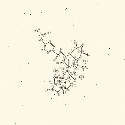 CC(=O)O[C@H]1[C@H]2[C@@H]([C@@H](O)[C@@H](NC(=O)c3ccc(OC(=O)C(C)(C)C)cc3)C3C[C@@H]4O[C@@H]4[C@H](O)[C@@]32C)[C@@H]2[C@@H](O)[C@@H]3[C@H]([C@H](C)[C@H]4O[C@]45OC(=O)[C@@](C)(O)[C@]35C)[C@@]2(C(C)=O)[C@H]1O